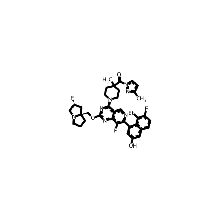 CCc1c(F)ccc2cc(O)cc(-c3ncc4c(N5CCC(C)(C(=O)n6ccc(C)n6)CC5)nc(OC[C@@]56CCCN5C[C@H](F)C6)nc4c3F)c12